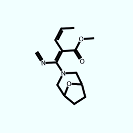 C=N/C(=C(\C=C/C)C(=O)OC)N1CC2CCC(C1)O2